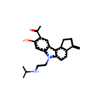 C=C1CCc2c1ccc1c2c2cc(C(C)=O)c(O)cc2n1CCNC(C)C